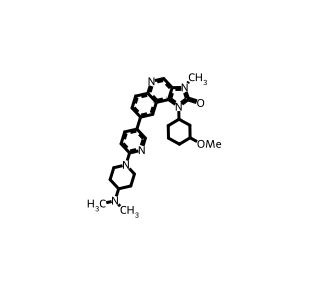 COC1CCCC(n2c(=O)n(C)c3cnc4ccc(-c5ccc(N6CCC(N(C)C)CC6)nc5)cc4c32)C1